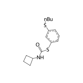 CCCCSc1cccc(SC(=O)NC2CCC2)c1